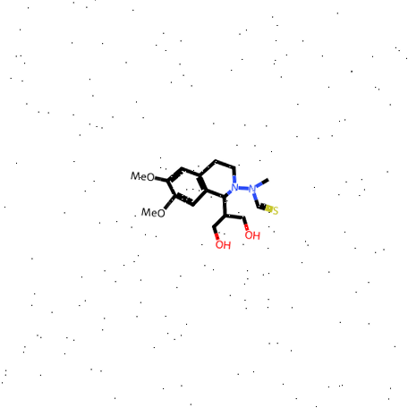 COc1cc2c(cc1OC)C(C(CO)CO)N(N(C)C=S)CC2